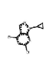 Clc1nc(Cl)c2cnn(C3CC3)c2n1